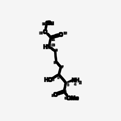 COC(=O)[C@@H](N)C(O)CCCNC(=O)OC(C)(C)C